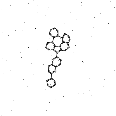 c1ccc(-c2ccc3nc(-n4c5cccc6c5c5c7c(cccc7ccc54)-c4ccccc4-6)ccc3n2)cc1